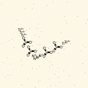 O=[Si]([O-])[O-].O=[Si]([O-])[O-].O=[Si]([O-])[O-].O=[Si]([O-])[O-].[N-3].[N-3].[N-3].[N-3].[Ti+4].[Ti+4].[Ti+4].[Ti+4].[Ti+4]